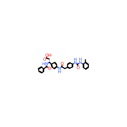 Cc1ccccc1NC(=O)Nc1ccc(CC(=O)Nc2ccc([C@@H](CC(=O)O)NC(=O)c3ccccc3)cc2)cc1